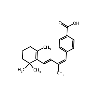 CC1=C(/C=C/C(C)=C\c2ccc(C(=O)O)cc2)C(C)(C)CCC1